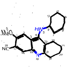 COc1cc2c(NC3CCCCC3)c3c(nc2cc1C#N)CCCC3